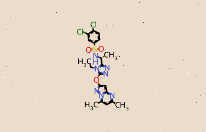 CCn1c(Oc2cc3nc(C)cc(C)n3n2)nnc1[C@@H](C)NS(=O)(=O)c1ccc(Cl)c(Cl)c1